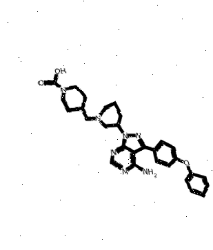 Nc1ncnc2c1c(-c1ccc(Oc3ccccc3)cc1)nn2C1CCCN(CC2CCN(C(=O)O)CC2)C1